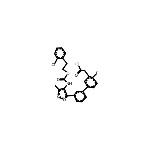 Cc1noc(-c2cccc(-c3ccc(F)c(CC(=O)O)c3)c2)c1NC(=O)OCCc1ccccc1Cl